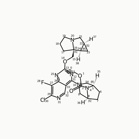 CC(C)(C)OC(=O)N1[C@@H]2CC[C@H]1CN(c1nc(OC[C@@]34CCCN3C[C@H]3C[C@H]34)nc3c(F)c(Cl)ncc13)C2